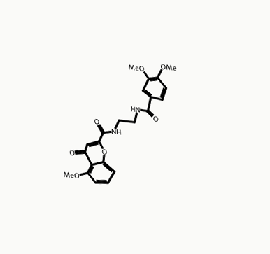 COc1ccc(C(=O)NCCNC(=O)c2cc(=O)c3c(OC)cccc3o2)cc1OC